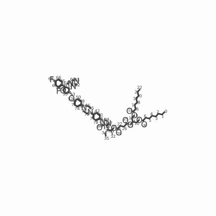 CCCCCCCC(=O)OCC(COC(=O)CCCCCCC)OC(=O)CCC(=O)O[C@@H](C)[C@H](CC)n1ncn(-c2ccc(N3CCN(c4ccc(OC[C@@H]5CO[C@@](Cn6cncn6)(c6ccc(F)cc6F)C5)cc4)CC3)cc2)c1=O